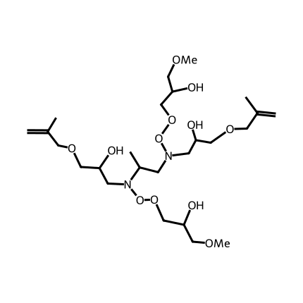 C=C(C)COCC(O)CN(CC(C)N(CC(O)COCC(=C)C)OOCC(O)COC)OOCC(O)COC